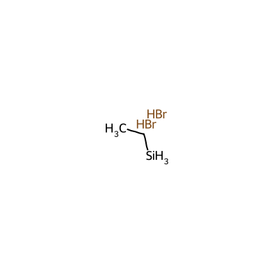 Br.Br.CC[SiH3]